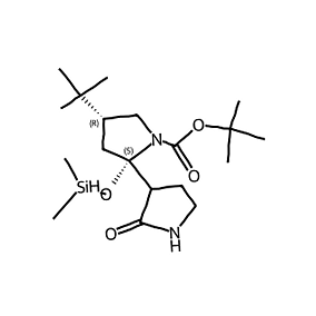 C[SiH](C)O[C@]1(C2CCNC2=O)C[C@H](C(C)(C)C)CN1C(=O)OC(C)(C)C